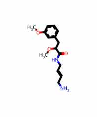 COc1cccc(CC(OC)C(=O)NCC=CCN)c1